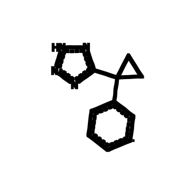 [c]1cccc(C2(c3nn[nH]n3)CC2)c1